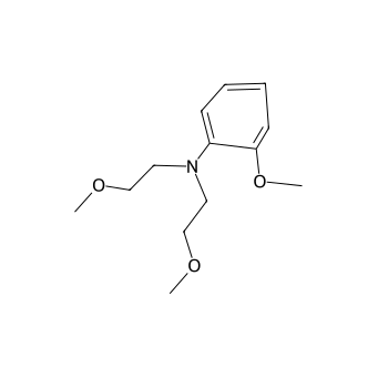 COCCN(CCOC)c1ccccc1OC